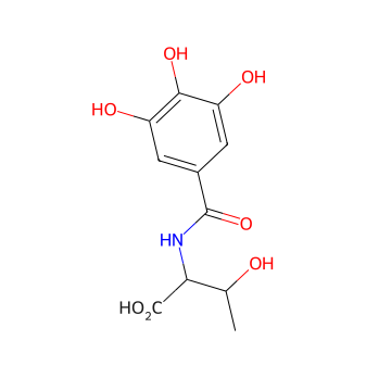 CC(O)C(NC(=O)c1cc(O)c(O)c(O)c1)C(=O)O